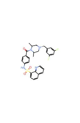 CC1CN(Cc2cc(F)cc(F)c2)CC(C)N1C(=O)c1ccc(NS(=O)(=O)c2cccc3cccnc23)cc1